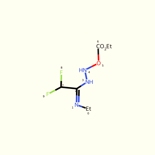 CCN=C(NNOC(=O)OCC)C(F)F